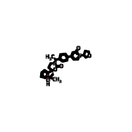 C[C@@H](c1ccc(-c2ccn(C3CCOC3)c(=O)c2)cc1)N1CC[C@](CC(C)(C)O)(c2ccccc2)OC1=O